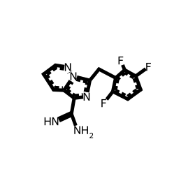 N=C(N)c1nc(Cc2c(F)ccc(F)c2F)n2ncccc12